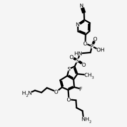 Cc1c(S(=O)(=O)NCP(=O)(O)Oc2ccc(C#N)nc2)sc2cc(OCCCN)c(OCCCN)c(F)c12